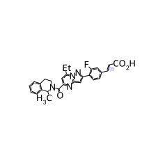 CCc1cc(C(=O)N2CCc3ccccc3C2C)nc2cc(-c3ccc(/C=C/C(=O)O)cc3F)nn12